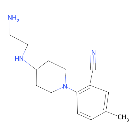 Cc1ccc(N2CCC(NCCN)CC2)c(C#N)c1